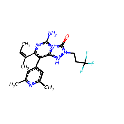 C/C=C(/C)c1nc(N)[n+]2c(=O)n(CCC(F)(F)F)[nH]c2c1-c1cc(C)nc(C)c1